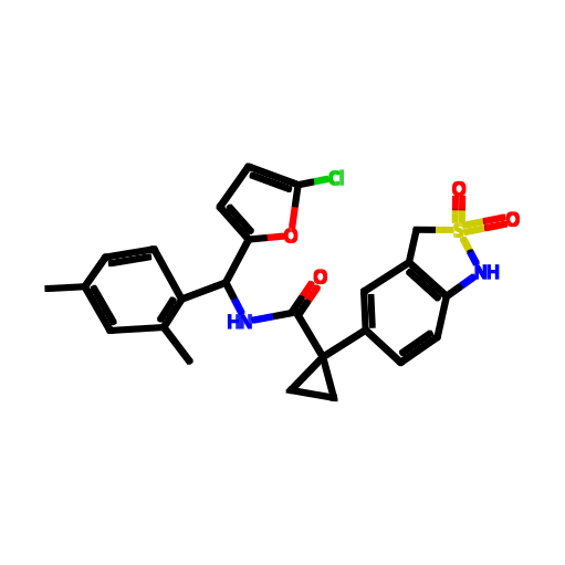 Cc1ccc(C(NC(=O)C2(c3ccc4c(c3)CS(=O)(=O)N4)CC2)c2ccc(Cl)o2)c(C)c1